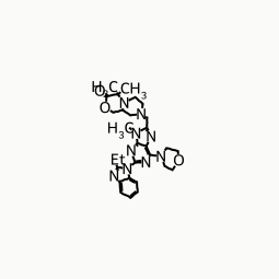 CCc1nc2ccccc2n1-c1nc(N2CCOCC2)c2nc(CN3CCN4C(COC(=O)C4(C)C)C3)n(C)c2n1